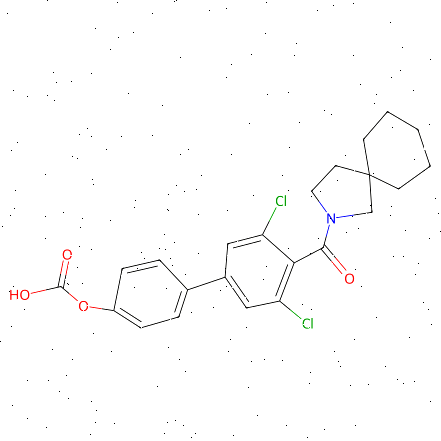 O=C(O)Oc1ccc(-c2cc(Cl)c(C(=O)N3CCC4(CCCCC4)C3)c(Cl)c2)cc1